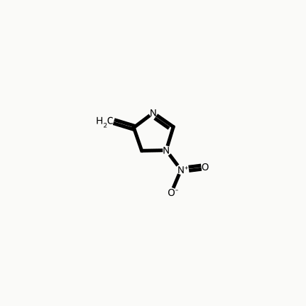 C=C1CN([N+](=O)[O-])C=N1